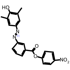 Cc1cc(/N=N/c2cccc(C(=O)Oc3ccc([N+](=O)[O-])cc3)c2)cc(C)c1O